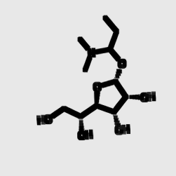 CCC(O[C@H]1O[C@H]([C@H](O)CO)[C@@H](O)[C@H]1O)N(C)C